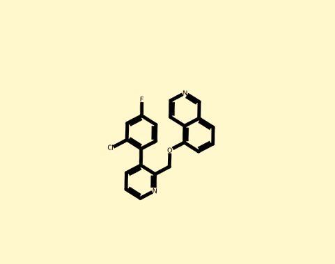 Fc1ccc(-c2cccnc2COc2cccc3cnccc23)c(Cl)c1